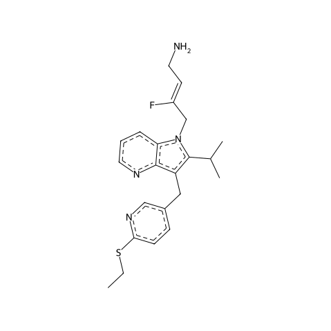 CCSc1ccc(Cc2c(C(C)C)n(C/C(F)=C/CN)c3cccnc23)cn1